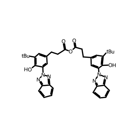 CC(C)(C)c1cc(CCC(=O)OC(=O)CCc2cc(-n3nc4ccccc4n3)c(O)c(C(C)(C)C)c2)cc(-n2nc3ccccc3n2)c1O